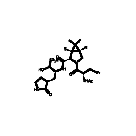 CC(=O)N[C@@H](CC(C)C)C(=O)N1C[C@H]2[C@@H]([C@H]1C(=O)N[C@@H](C[C@@H]1CCNC1=O)C(O)S(=O)(=O)O)C2(C)C